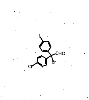 O=CC(Br)(c1ccc(Cl)cc1)c1ccc(I)cc1